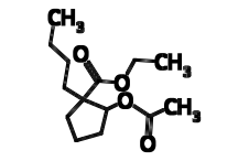 CCCCC1(C(=O)OCC)CCCC1OC(C)=O